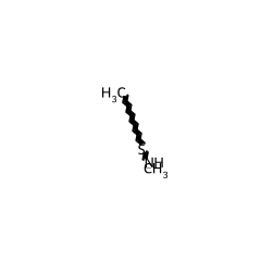 CCCCCCCCCCCCSCCNC